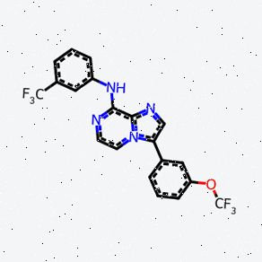 FC(F)(F)Oc1cccc(-c2cnc3c(Nc4cccc(C(F)(F)F)c4)nccn23)c1